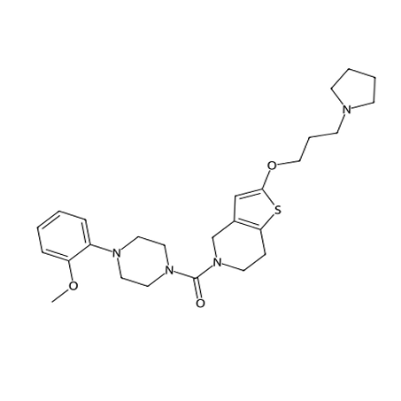 COc1ccccc1N1CCN(C(=O)N2CCc3sc(OCCCN4CCCC4)cc3C2)CC1